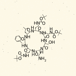 CC(C)C[C@@H]1NC(=O)[C@@H](Cc2ccccc2)NC(=O)[C@H](CCNC(=O)OC(C)(C)C)NC(=O)[C@H](CCN)NC(=O)[C@H]([C@@H](C)O)NC(=O)[C@H](CCNC(=O)OC(C)(C)C)NC(=O)[C@H](CCNC(=O)OC(C)(C)C)NC1=O